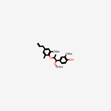 C=CCc1cc(C)c(OC(C)C(OCCCCCC)c2ccc(O)c(OC)c2)c(OC)c1